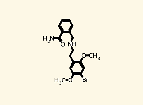 COc1cc(CCNCc2ccccc2C(N)=O)c(OC)cc1Br